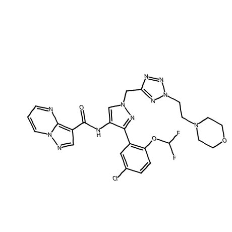 O=C(Nc1cn(Cc2nnn(CCN3CCOCC3)n2)nc1-c1cc(Cl)ccc1OC(F)F)c1cnn2cccnc12